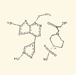 COc1ncc(-c2cnn(C)c2)c2sc(N)nc12.CS(=O)(=O)[C@H]1CCN(C(=O)O)C1